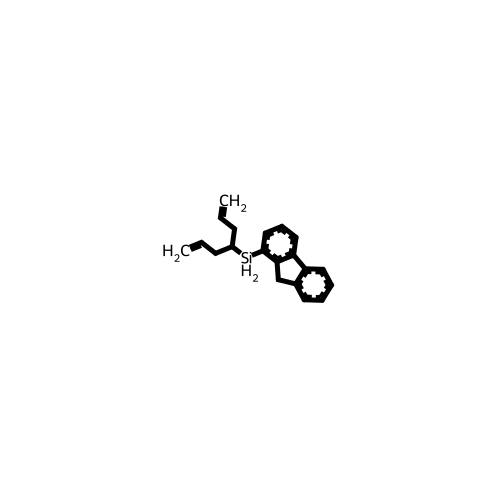 C=CCC(CC=C)[SiH2]c1cccc2c1Cc1ccccc1-2